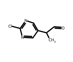 CC(C=O)c1cnc(Cl)nc1